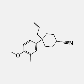 C=CCC1(c2ccc(OC)c(C)c2)CCC(C#N)CC1